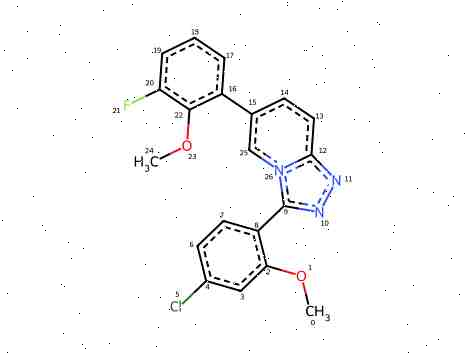 COc1cc(Cl)ccc1-c1nnc2ccc(-c3cccc(F)c3OC)cn12